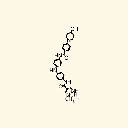 CN(C)/C=C(\C=N)C(=O)Nc1ccc(Nc2ccc(NC(=O)c3ccc(N4CCC(O)CC4)cc3)cc2)cc1